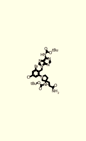 CC(C)(C)OC(=O)Nc1ncnc2c1ncn2Cc1c(Br)cc(Cl)cc1N1CCC(CCC(N)=O)(NC(=O)OC(C)(C)C)C1